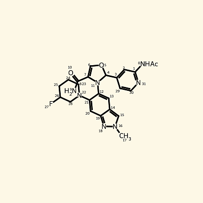 CC(=O)Nc1cc(C2OC=C(C(N)=O)N2c2cc3cn(C)nc3cc2N2CCCC(F)C2)ccn1